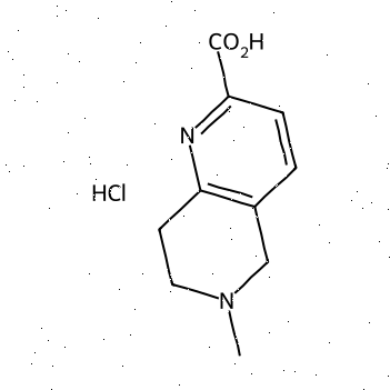 CN1CCc2nc(C(=O)O)ccc2C1.Cl